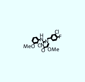 COc1cccc(Nc2nc(=O)c(OC)cn2Cc2ccc(F)c(Cl)c2)c1Cl